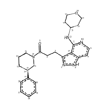 O=C(CCc1n[nH]c2ccnc(NC3CCOCC3)c12)N1CCC[C@H](c2ccccc2)C1